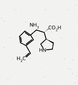 C=Cc1cccc(C[C@H](C(=O)O)[C@H]2CCNC2)c1.N